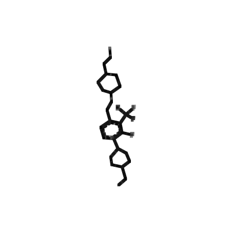 CCCC1CCC(CCc2ccc(C3CCC(CC)CC3)c(F)c2C(F)(F)F)CC1